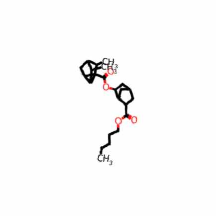 CCCCCOC(=O)C1CC2CC(OC(=O)C34C(C)C5CC3C4C5C)C1C2